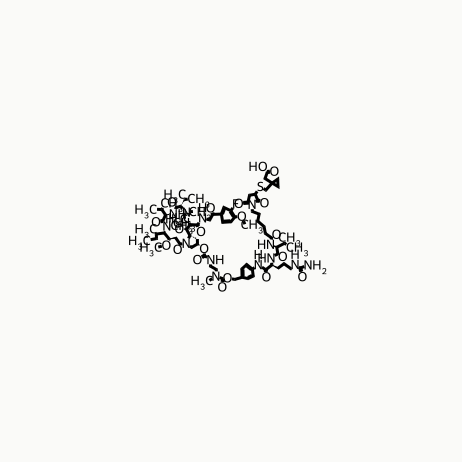 CC[C@H](C)[C@@H]([C@@H](CC(=O)N1C[C@@H](OC(=O)NCCN(C)C(=O)OCc2ccc(NC(=O)[C@H](CCCNC(N)=O)NC(=O)[C@@H](NC(=O)CCCCCN3C(=O)CC(SCC4(CC(=O)O)CC4)C3=O)C(C)C)cc2)C[C@H]1[C@H](OC)[C@@H](C)C(=O)NCC(=O)c1ccc(OC)c(F)c1)OC)N(C)C(=O)[C@@H](NC(=O)[C@H](C(C)C)N(C)C)C(C)C